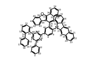 c1ccc(-c2nc(-c3ccc(-n4c5ccccc5c5cc6ccccc6cc54)c(-c4cc5ccccc5c5oc6ccccc6c45)c3)nc(-c3ccccc3-c3ccccc3)n2)cc1